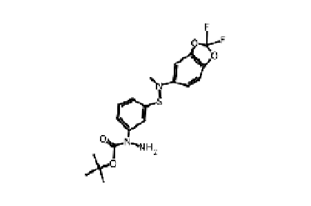 CN(Sc1cccc(N(N)C(=O)OC(C)(C)C)c1)c1ccc2c(c1)OC(F)(F)O2